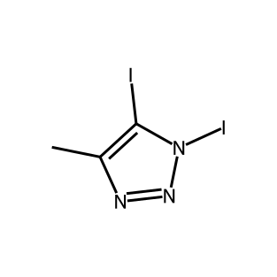 Cc1nnn(I)c1I